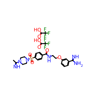 CC(=N)N1CCN(S(=O)(=O)c2ccc(C(=O)NCCOc3cccc(C(=N)N)c3)cc2)CC1.O=C(O)C(F)(F)F.O=C(O)C(F)(F)F